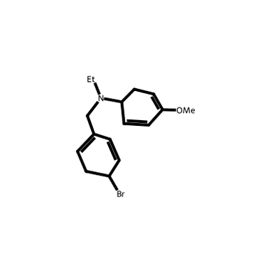 CCN(CC1=CCC(Br)C=C1)C1C=CC(OC)=CC1